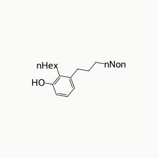 CCCCCCCCCCCCc1cccc(O)c1CCCCCC